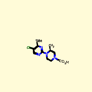 CSc1nc(N2CCN(C(=O)O)C[C@@H]2C)ncc1Cl